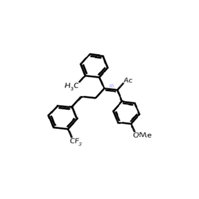 COc1ccc(/C(C(C)=O)=C(\CCc2cccc(C(F)(F)F)c2)c2ccccc2C)cc1